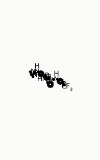 Cc1cc(C)nc(Nc2ccc(C(=O)N[C@@H](CC3CCCCC3)C(=O)NCCNc3ccc(OC(F)(F)F)cc3)cc2)n1